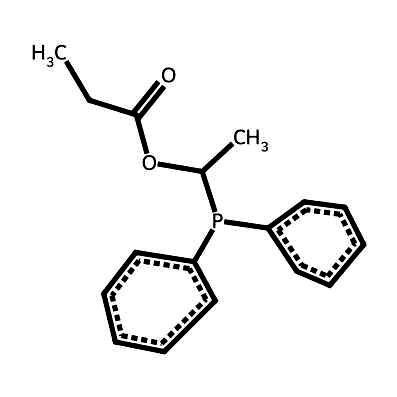 CCC(=O)OC(C)P(c1ccccc1)c1ccccc1